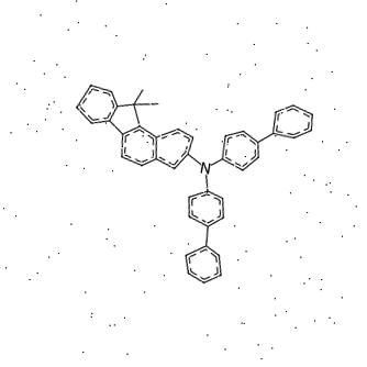 CC1(C)c2ccccc2-c2ccc3cc(N(c4ccc(-c5ccccc5)cc4)c4ccc(-c5ccccc5)cc4)ccc3c21